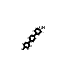 Cc1ccc(-c2ccc(-c3ccc(C#N)cc3)cc2)cc1